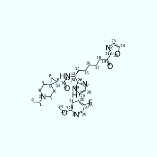 CCN1CCC2(CC1)C[C@@H]2C(=O)N[C@@H](CCCCCC(=O)c1ncco1)c1ncc(-c2cc(OC)ncc2F)[nH]1